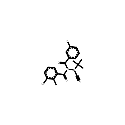 Cc1c(Cl)cccc1C(=O)N(C(=O)c1cccc(F)c1)N(C#N)C(C)(C)C